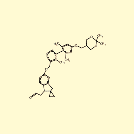 Cc1cc(OCC2COC(C)(C)OC2)cc(C)c1-c1cccc(COc2ccc3c(c2)CC2(CC2)C3CC=O)c1C